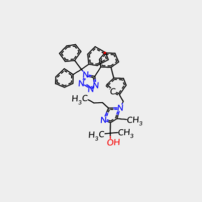 CCCc1nc(C(C)(C)O)c(C)n1Cc1ccc(-c2ccccc2-c2nnnn2C(c2ccccc2)(c2ccccc2)c2ccccc2)cc1